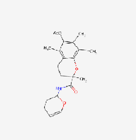 CC(=O)Oc1c(C)c(C)c2c(c1C)CCC(C)(C(=O)NC1CCC=CO1)O2